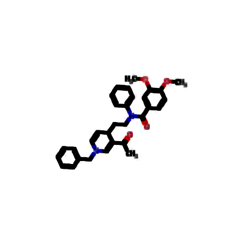 COc1ccc(C(=O)N(CCC2C=CN(Cc3ccccc3)C=C2C(C)=O)c2ccccc2)cc1OC